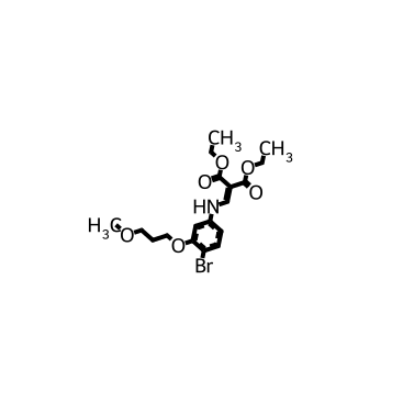 CCOC(=O)C(=CNc1ccc(Br)c(OCCCOC)c1)C(=O)OCC